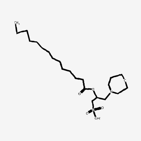 CCCCCCCCCCCCCC(=O)OC(CN1CCCCCC1)CS(=O)(=O)O